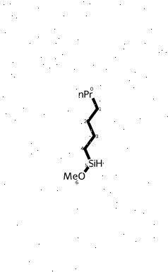 CCCCCCC[SiH]OC